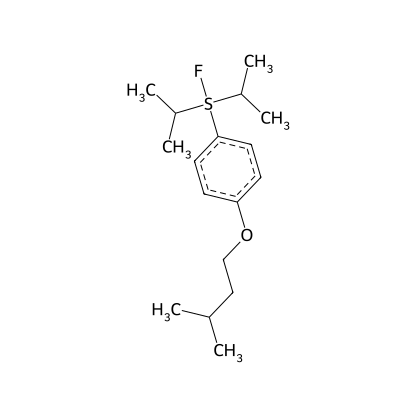 CC(C)CCOc1ccc(S(F)(C(C)C)C(C)C)cc1